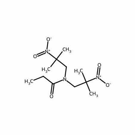 CCC(=O)N(CC(C)(C)[N+](=O)[O-])CC(C)(C)[N+](=O)[O-]